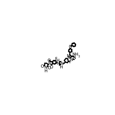 Nc1ncnc2c1c(-c1ccc(Oc3ccccc3)cc1)nn2C1CCC(CN2C[C@@H]3C[C@H]2CN3c2cc3c(cc2F)C(=O)N(C2CCC(=O)NC2=O)C3=O)CC1F